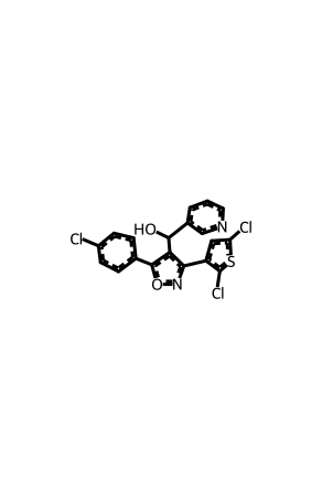 OC(c1cccnc1)c1c(-c2cc(Cl)sc2Cl)noc1-c1ccc(Cl)cc1